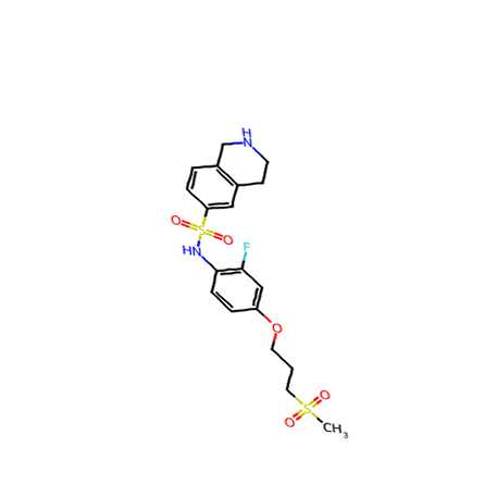 CS(=O)(=O)CCCOc1ccc(NS(=O)(=O)c2ccc3c(c2)CCNC3)c(F)c1